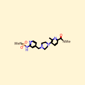 CNC(=O)c1ccc(N2CCN(Cc3ccnc(NS(=O)(=O)NC)c3)CC2)c(C)n1